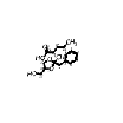 CC1(Cc2ccccc2)OCC(CO)O1.CCCCC(=O)O